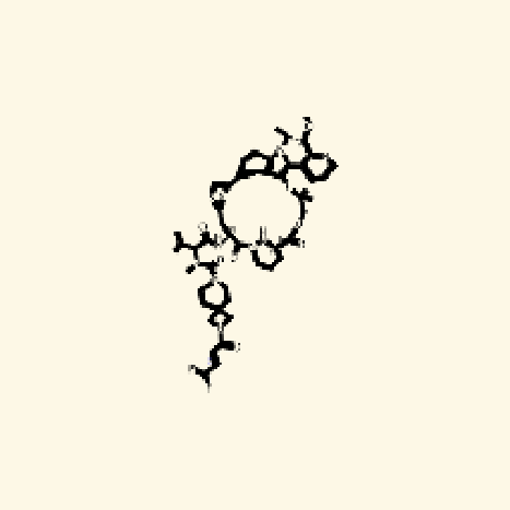 CCn1c(-c2cccnc2[C@H](C)OC)c2c3cc(ccc31)-c1csc(n1)C[C@H](NC(=O)C(C(C)C)N(C)C(=O)N1CCC3(CC1)CN(C(=O)/C=C/C(F)F)C3)C(=O)N1CCC[C@H](N1)C(=O)OCC(C)(C)C2